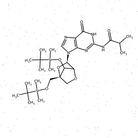 CC(C)C(=O)Nc1nc2c(ncn2[C@@H]2O[C@@]3(CO[Si](C)(C)C(C)(C)C)COC2C3O[Si](C)(C)C(C)(C)C)c(=O)[nH]1